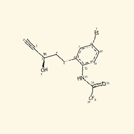 C#C[C@H](O)CCc1cc(CC)ccc1NC(=O)C(F)(F)F